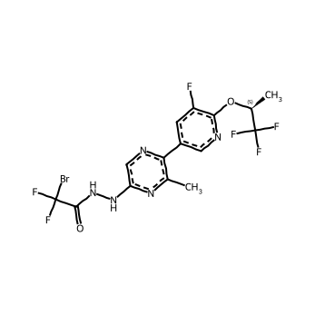 Cc1nc(NNC(=O)C(F)(F)Br)cnc1-c1cnc(O[C@@H](C)C(F)(F)F)c(F)c1